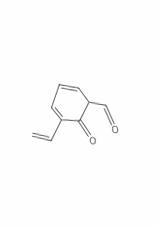 C=CC1=CC=CC(C=O)C1=O